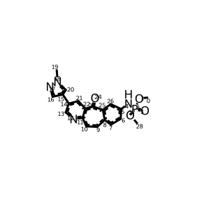 COP(=O)(Nc1ccc2ccc3ncc(-c4cnn(C)c4)cc3c(=O)c2c1)OC